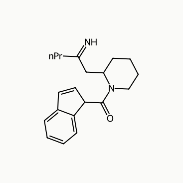 CCCC(=N)CC1CCCCN1C(=O)C1C=Cc2ccccc21